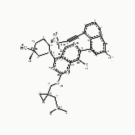 CC(C)[Si](C#Cc1cccc2cc(O)cc(-c3ncc4c(N5CCC[C@@](C)(O)C5)nc(OCC5(CN(C)C)CC5)nc4c3F)c12)(C(C)C)C(C)C